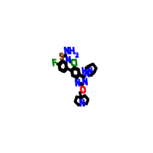 Nc1nc2c(-c3cc4nc(OCC56CCCN5CCC6)nc(N5CC6CCC(C5)N6)c4cc3Cl)ccc(F)c2s1